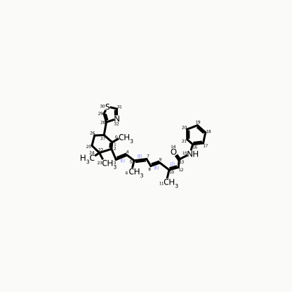 CC1=C(/C=C/C(C)=C/C=C/C(C)=C\C(=O)Nc2ccccc2)C(C)(C)CCC1c1cscn1